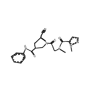 CN(CC(=O)N1CC(C(=O)Nc2ccccc2)CC1C#N)C(=O)c1ccnn1C